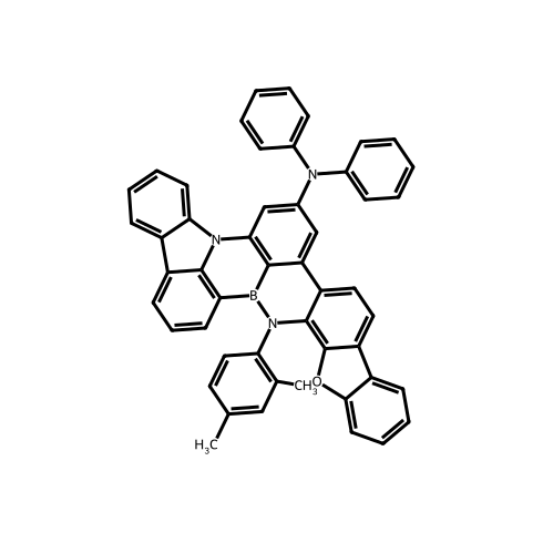 Cc1ccc(N2B3c4c(cc(N(c5ccccc5)c5ccccc5)cc4-n4c5ccccc5c5cccc3c54)-c3ccc4c(oc5ccccc54)c32)c(C)c1